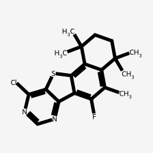 Cc1c2c(c3sc4c(Cl)ncnc4c3c1F)C(C)(C)CCC2(C)C